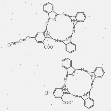 O=C([O-])c1cc(Cl)cc2c3nc4nc(nc5[nH]c(nc6nc(nc([nH]3)c12)-c1ccccc1-6)c1ccccc51)-c1ccccc1-4.O=C([O-])c1cc(Cl)cc2c3nc4nc(nc5[nH]c(nc6nc(nc([nH]3)c12)-c1ccccc1-6)c1ccccc51)-c1ccccc1-4.[C]=O.[C]=O.[Cu+2]